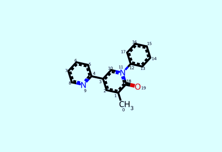 Cc1cc(-c2ccccn2)cn(-c2ccccc2)c1=O